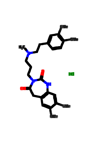 COc1ccc(CCN(C)CCCN2C(=O)Cc3cc(OC)c(OC)cc3NC2=O)cc1OC.Cl